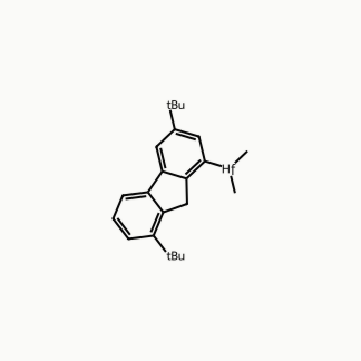 [CH3][Hf]([CH3])[c]1cc(C(C)(C)C)cc2c1Cc1c-2cccc1C(C)(C)C